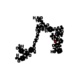 CCC(C)[C@@H]([C@@H](CC(=O)N1CCC[C@H]1[C@H](OC)[C@@H](C)C(=O)N[C@H](C)[C@@H](O)c1ccccc1)OC)N(C)C(=O)[C@@H](NC(=O)[C@H](C(C)C)N(C)C(=O)OCc1ccc(NC(=O)[C@H](CCCNC(N)=O)NC(=O)[C@@H](NC(=O)COCCOCCOCCOc2ccc(N3C(=O)C(Sc4ccc(C(=O)NC)cc4)=C(Sc4ccc(C(=O)NC)cc4)C3=O)cc2OC)C(C)C)cc1)C(C)C